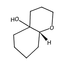 OC12CCCC[C@H]1OCCC2